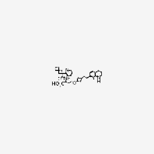 O=C(O)C(CCOC1CC(CCc2ccc3c(n2)NCCC3)C1)NC(=O)C1(c2ccccn2)CC2(CCC2)C1